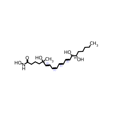 CCCCC[C@@H](O)[C@H](O)/C=C/C=C/C=C\C=C\[C@@](C)(O)CCCC(=O)NO